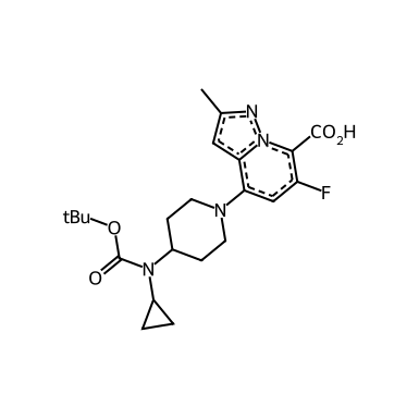 Cc1cc2c(N3CCC(N(C(=O)OC(C)(C)C)C4CC4)CC3)cc(F)c(C(=O)O)n2n1